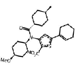 CO[C@H]1CC[C@@H](N(c2cc(C3=CCCCC3)sc2C(=O)O)C(=O)[C@H]2CC[C@H](C)CC2)CC1